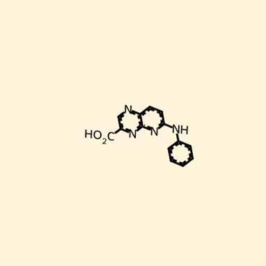 O=C(O)c1cnc2ccc(Nc3ccccc3)nc2n1